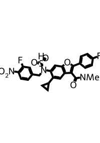 CNC(=O)c1c(-c2ccc(F)cc2)oc2cc(N(Cc3ccc([N+](=O)[O-])c(F)c3)[SH](=O)=O)c(C3CC3)cc12